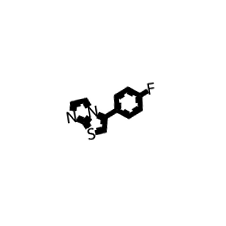 Fc1ccc(-c2csc3nccn23)cc1